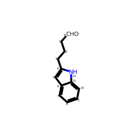 O=[C]CCCc1cc2ccccc2[nH]1